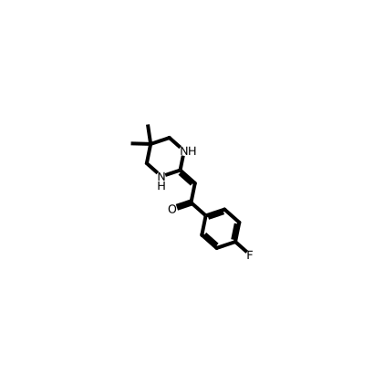 CC1(C)CNC(=CC(=O)c2ccc(F)cc2)NC1